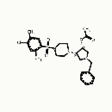 CC(=O)O[C@@H]1CN(Cc2ccccc2)C[C@@H]1N1CCN(S(=O)(=O)c2cc(C)c(Cl)cc2C)CC1